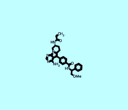 C=CC(=O)N[C@@H]1CCc2c(-c3ccc(C(=O)NC(COC)c4ccccc4)cc3)c3c(N)ncnc3n2C1